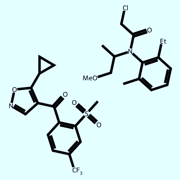 CCc1cccc(C)c1N(C(=O)CCl)C(C)COC.CS(=O)(=O)c1cc(C(F)(F)F)ccc1C(=O)c1cnoc1C1CC1